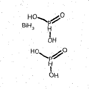 O=[PH](O)O.O=[PH](O)O.[BiH3]